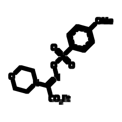 CCOC(=O)/C(=N/OS(=O)(=O)c1ccc(OC)cc1)N1CCOCC1